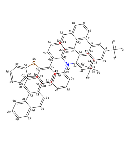 CC(C)(C)c1cc(-c2cccc3cccc(-c4ccccc4N(c4cccc(-c5cccc6c5ccc5ccccc56)c4)c4ccccc4-c4cccc5c4sc4ccccc45)c23)cc(C(C)(C)C)c1